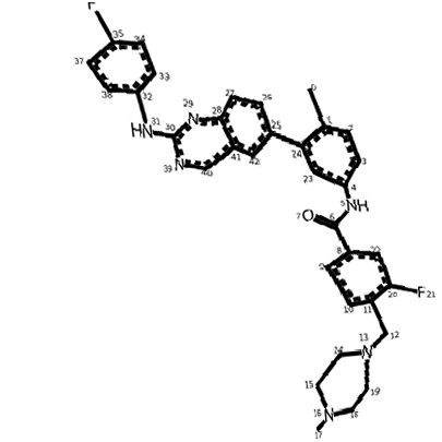 Cc1ccc(NC(=O)c2ccc(CN3CCN(C)CC3)c(F)c2)cc1-c1ccc2nc(Nc3ccc(F)cc3)ncc2c1